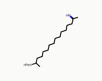 CCCCCC(C)CCCCCCCCCCCCC(C)=N